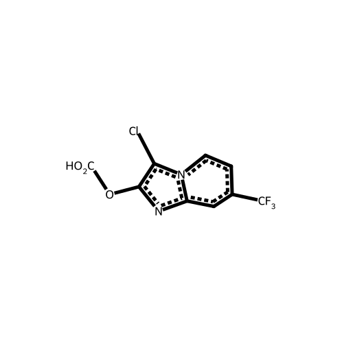 O=C(O)Oc1nc2cc(C(F)(F)F)ccn2c1Cl